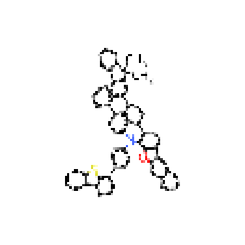 CC1(C)c2ccccc2-c2ccc(-c3ccc(-c4ccc5c(oc6cc7ccccc7cc65)c4N(c4ccc(-c5ccccc5)cc4)c4ccc(-c5cccc6c5sc5ccccc56)cc4)cc3)cc21